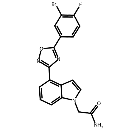 NC(=O)Cn1ccc2c(-c3noc(-c4ccc(F)c(Br)c4)n3)cccc21